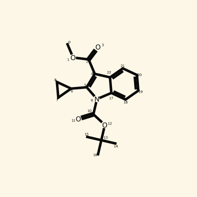 COC(=O)c1c(C2CC2)n(C(=O)OC(C)(C)C)c2ccccc12